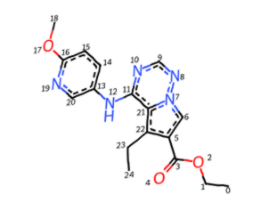 CCOC(=O)c1cn2ncnc(Nc3ccc(OC)nc3)c2c1CC